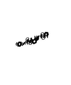 Cc1c(C(=O)NCCN2CCN(C)CC2)oc2c1-c1nn(C[C@H]3COc4ncccc4O3)cc1CC2